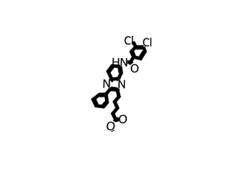 COC(=O)CCCCc1nc2cc(NC(=O)c3ccc(Cl)c(Cl)c3)ccc2nc1-c1ccccc1